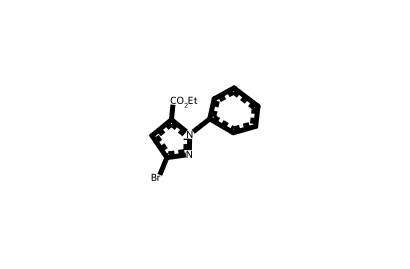 CCOC(=O)c1cc(Br)nn1-c1ccccc1